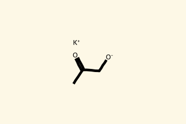 CC(=O)C[O-].[K+]